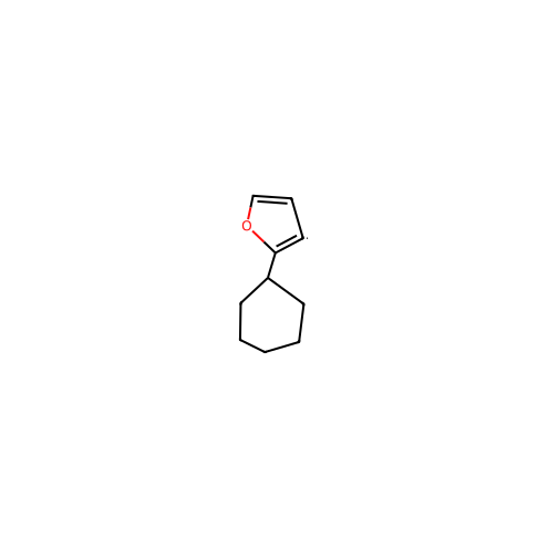 [c]1ccoc1C1CCCCC1